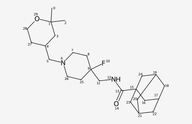 CC1(C)CC(CN2CCC(F)(CNC(=O)C34CC5CC(CC(C5)C3)C4)CC2)CCO1